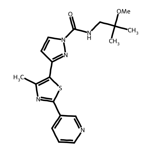 COC(C)(C)CNC(=O)n1ccc(-c2sc(-c3cccnc3)nc2C)n1